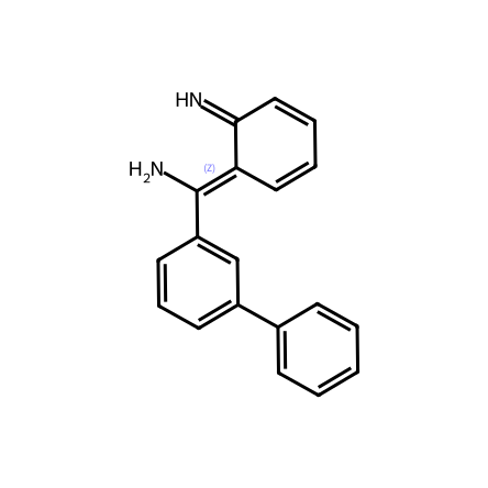 N=C1C=CC=C/C1=C(/N)c1cccc(-c2ccccc2)c1